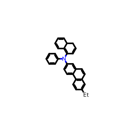 CCc1ccc2c(ccc3cc(N(C4=C5C=CC=CC5CC=C4)c4ccccc4)ccc32)c1